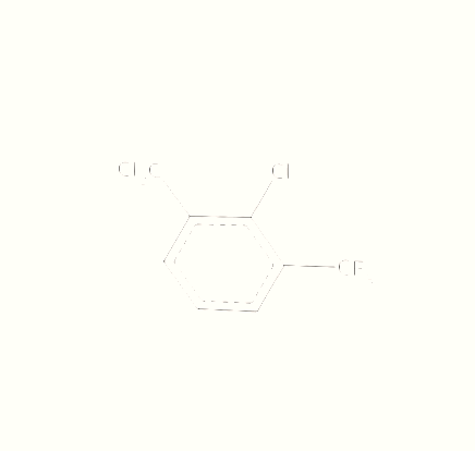 FC(F)(F)c1cccc(C(Cl)(Cl)Cl)c1Cl